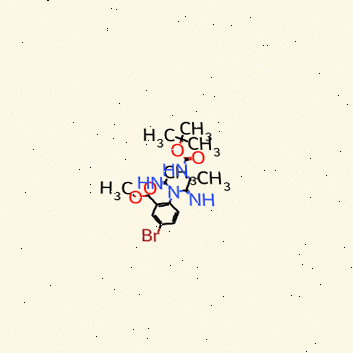 COC(=O)c1cc(Br)ccc1N(C(C)=N)C(=N)[C@@H](C)NC(=O)OC(C)(C)C